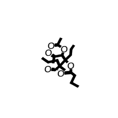 CCCC(=O)OC(CCC)(C(OC(C)=O)C(C)=O)C(C)([C]=O)CCC